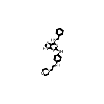 c1ccc(CNc2nc(Nc3ccc(NCCN4CCOCC4)cc3)nc3[nH]cnc23)cc1